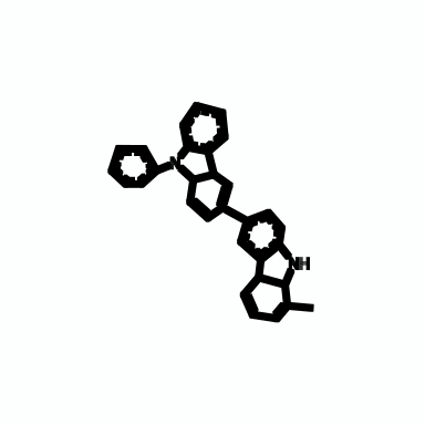 CC1=CC=CC2c3cc(C4=CC5c6ccccc6N(c6ccccc6)C5C=C4)ccc3NC12